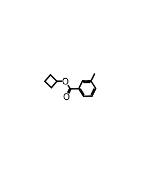 Cc1cccc(C(=O)OC2CCC2)c1